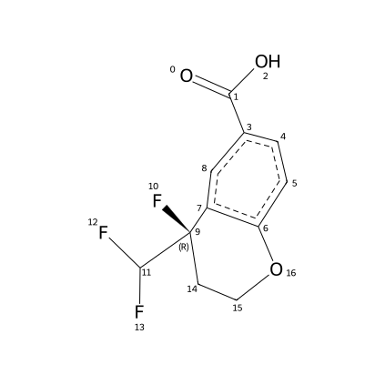 O=C(O)c1ccc2c(c1)[C@@](F)(C(F)F)CCO2